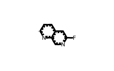 Fc1cc2cc[c]nc2cn1